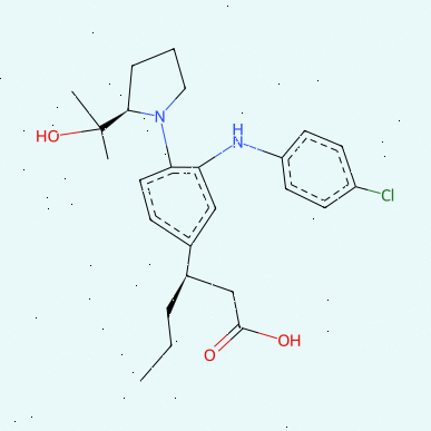 CCC[C@H](CC(=O)O)c1ccc(N2CCC[C@@H]2C(C)(C)O)c(Nc2ccc(Cl)cc2)c1